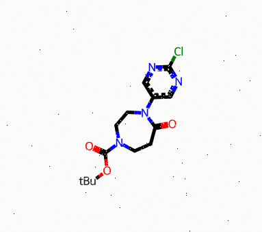 CC(C)(C)OC(=O)N1CCC(=O)N(c2cnc(Cl)nc2)CC1